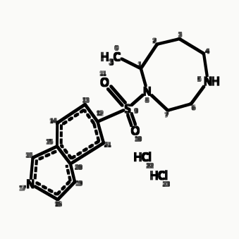 CC1CCCNCCN1S(=O)(=O)c1ccc2cnccc2c1.Cl.Cl